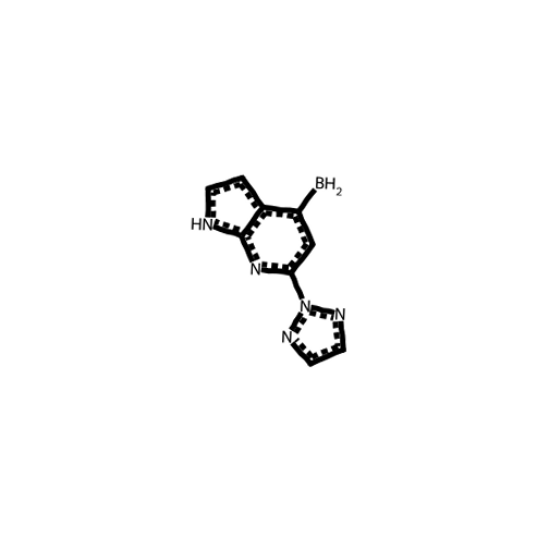 Bc1cc(-n2nccn2)nc2[nH]ccc12